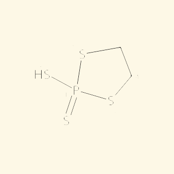 S=P1(S)SCCS1